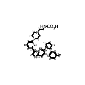 O=C(O)NCCN1CCN(c2cccc(-c3cnc4ccc(N5CCC[C@@H]5c5cccc(F)c5)nn34)n2)CC1